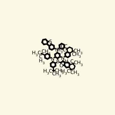 CC(C)(C)c1ccc(N2c3ccc(C(C)(C)C)cc3B3c4oc5cc6c(cc5c4N(c4ccc5c(c4)C(C)(C)CCC5(C)C)c4cc(N(c5ccccc5)c5ccc7c(c5)sc5ccccc57)cc2c43)C(C)(C)CCC6(C)C)cc1